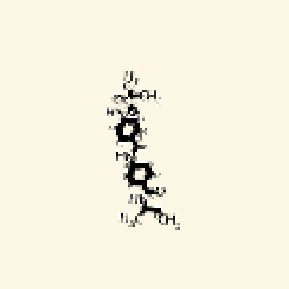 CCC(C)NC(=O)c1ccc(NCc2ccc(NS(=O)(=O)C(C)C)cc2)cc1